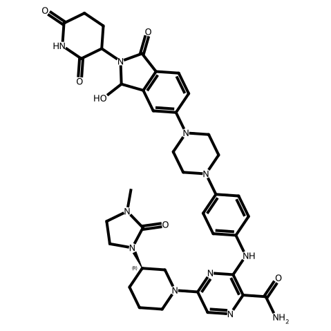 CN1CCN([C@@H]2CCCN(c3cnc(C(N)=O)c(Nc4ccc(N5CCN(c6ccc7c(c6)C(O)N(C6CCC(=O)NC6=O)C7=O)CC5)cc4)n3)C2)C1=O